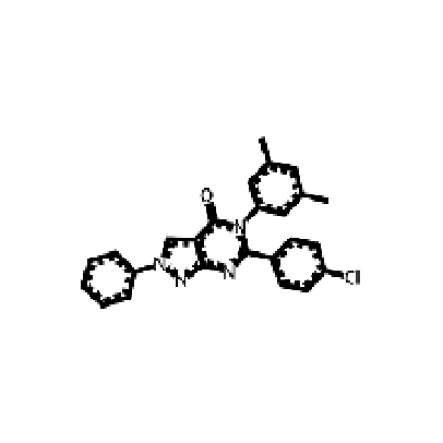 Cc1cc(C)cc(-n2c(-c3ccc(Cl)cc3)nc3nn(-c4ccccc4)cc3c2=O)c1